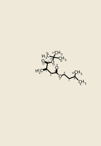 C=C(CC(=O)OCCC(C)C)C(=O)OC(C)(C)C